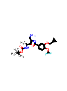 CC(NC(=O)OC(C)(C)C)c1oc(-c2ccc(OC(F)F)c(OCC3CC3)c2)nc1CN